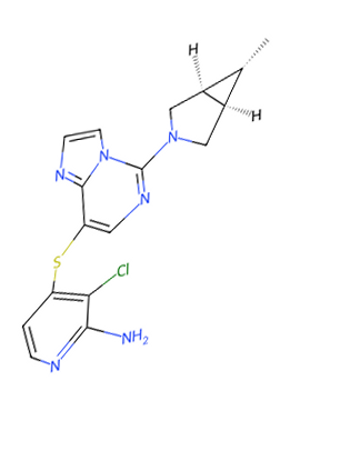 C[C@@H]1[C@H]2CN(c3ncc(Sc4ccnc(N)c4Cl)c4nccn34)C[C@@H]12